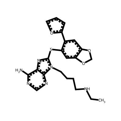 CCNCCCCn1c(Sc2cc3c(cc2-c2ccco2)OCO3)nc2c(N)ncnc21